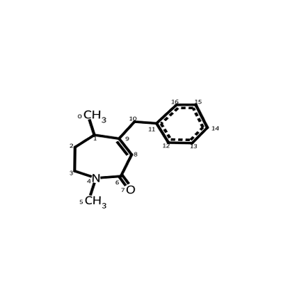 CC1CCN(C)C(=O)C=C1Cc1ccccc1